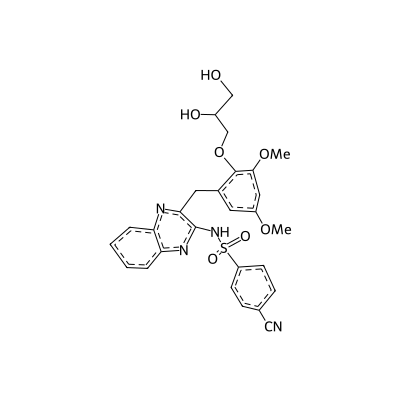 COc1cc(Cc2nc3ccccc3nc2NS(=O)(=O)c2ccc(C#N)cc2)c(OCC(O)CO)c(OC)c1